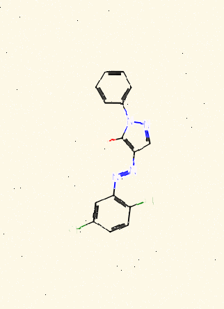 Oc1c(N=Nc2cc(Cl)ccc2Cl)cnn1-c1ccccc1